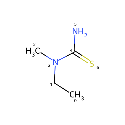 CCN(C)C(N)=S